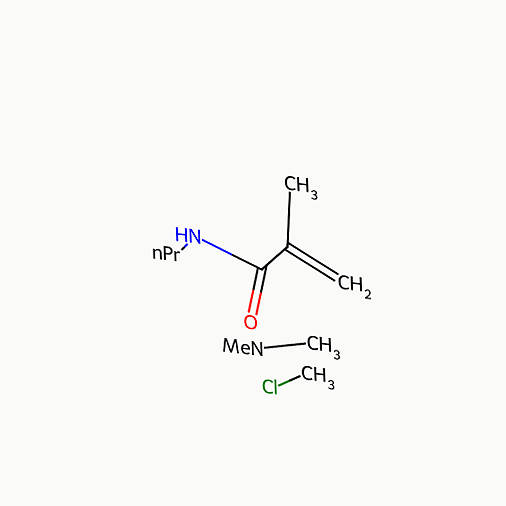 C=C(C)C(=O)NCCC.CCl.CNC